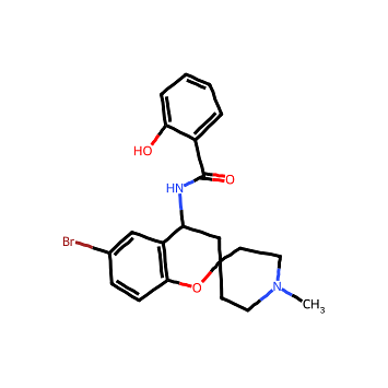 CN1CCC2(CC1)CC(NC(=O)c1ccccc1O)c1cc(Br)ccc1O2